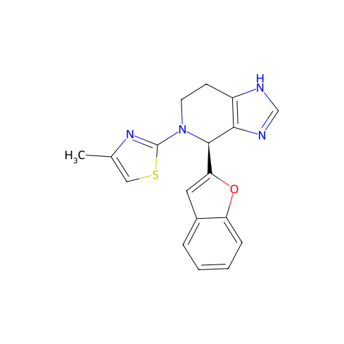 Cc1csc(N2CCc3[nH]cnc3[C@H]2c2cc3ccccc3o2)n1